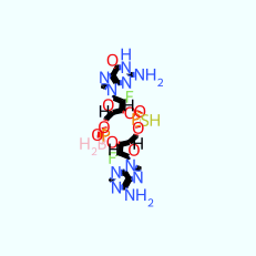 B[P@]1(=O)OC[C@H]2O[C@@H](n3cnc4c(=O)[nH]c(N)nc43)[C@H](F)[C@@H]2OP(=O)(S)OC[C@H]2O[C@@H](n3cnc4c(N)ncnc43)[C@H](F)[C@@H]2O1